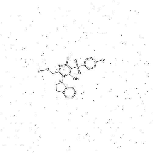 CC(C)OCc1nc(=O)c(S(=O)(=O)c2ccc(Br)cc2)c(O)n1[C@H]1CCc2ccccc21